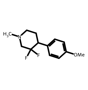 COc1ccc(C2CCN(C)CC2(F)F)cc1